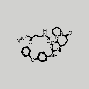 [N-]=[N+]=CC(=O)CCNC(=O)[C@@H]1CCCN2C(=O)CCC(NC(=O)Nc3ccc(Oc4ccccc4)cc3)C(=O)N12